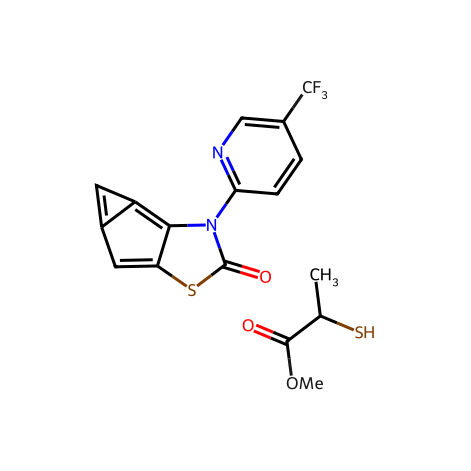 COC(=O)C(C)S.O=c1sc2cc3cc-3c2n1-c1ccc(C(F)(F)F)cn1